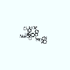 COC(=O)C1(Nc2cccc(Cl)c2)CCC2(CC1)c1cc(C(C)O)ccc1CC2C[C@@H](C)COc1ccnc2c1[C@H](C)CCC2